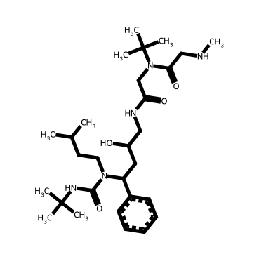 CNCC(=O)N(CC(=O)NCC(O)CC(c1ccccc1)N(CCC(C)C)C(=O)NC(C)(C)C)C(C)(C)C